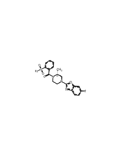 CCS(=O)(=O)c1ccccc1C(=O)N1CCN(c2nc3ccc(F)cc3o2)C[C@H]1C